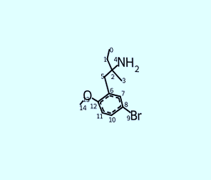 CCC(C)(N)Cc1cc(Br)ccc1OC